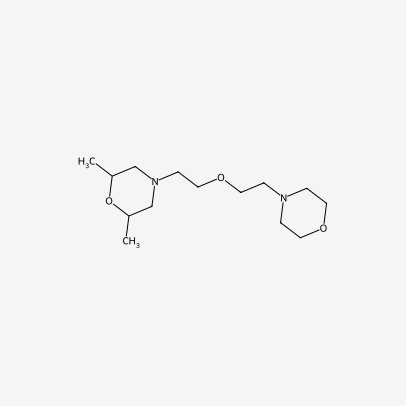 CC1CN(CCOCCN2CCOCC2)CC(C)O1